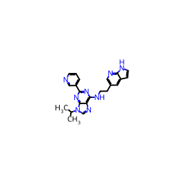 CC(C)n1cnc2c(NCCc3cnc4[nH]ccc4c3)nc(-c3cccnc3)nc21